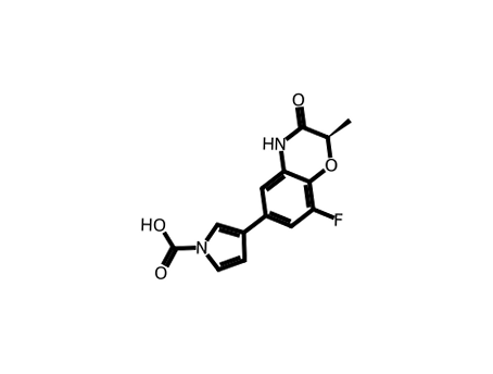 C[C@H]1Oc2c(F)cc(-c3ccn(C(=O)O)c3)cc2NC1=O